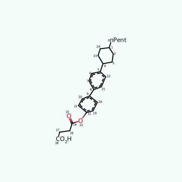 CCCCCC1CCC(c2ccc(-c3ccc(OC(=O)CCC(=O)O)cc3)cc2)CC1